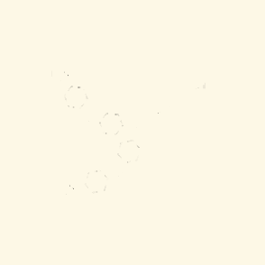 CCC[C@H]1CC[C@@H](C2CCC(c3ccc(Oc4ccc(N)cc4)cc3)(c3ccc(Oc4ccc(N)cc4)cc3)CC2)CC1